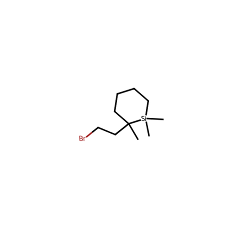 CC1(CCBr)CCCC[Si]1(C)C